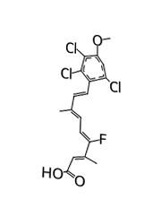 COc1cc(Cl)c(C=CC(C)=CC=C(F)C(C)=CC(=O)O)c(Cl)c1Cl